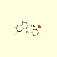 Cc1ccc(Nc2c(C#N)cnc3cnc(F)cc23)cc1Br